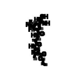 CCCOC(=O)c1sc(NC(=O)CCNC(=O)c2cc(C(=N)NO)cc(C(F)(F)F)c2)nc1C